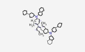 C=C\C=C/C(=C\Cc1ccc(N(c2ccc(-c3ccccc3)cc2)c2ccc3c(c2)CCCC3)cc1/C=C/C)C(/C=C\C(=C)N(c1ccc(-c2ccccc2)cc1)c1ccc2ccccc2c1)=C\C